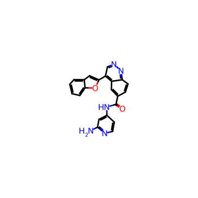 Nc1cc(NC(=O)c2ccc3nncc(-c4cc5ccccc5o4)c3c2)ccn1